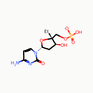 CC[C@]1(COP([O])(=O)O)O[C@@H](n2ccc(N)nc2=O)C[C@@H]1O